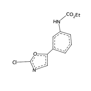 CCOC(=O)Nc1cccc(-c2cnc(Cl)o2)c1